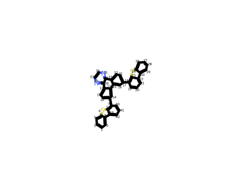 c1ccc2c(c1)sc1c(-c3ccc4c(c3)c3cc(-c5cccc6c5sc5ccccc56)ccc3c3nccnc43)cccc12